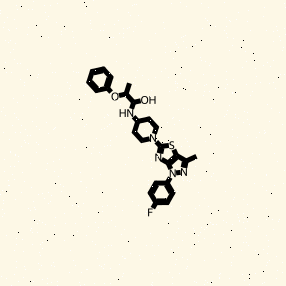 Cc1nn(-c2ccc(F)cc2)c2nc(N3CCC(NC(O)C(C)Oc4ccccc4)CC3)sc12